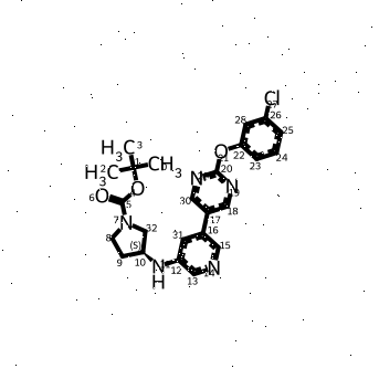 CC(C)(C)OC(=O)N1CC[C@H](Nc2cncc(-c3cnc(Oc4cccc(Cl)c4)nc3)c2)C1